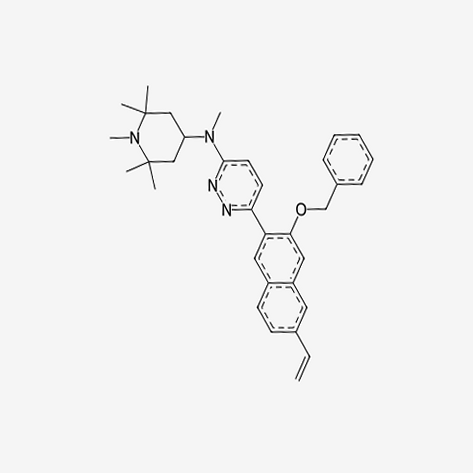 C=Cc1ccc2cc(-c3ccc(N(C)C4CC(C)(C)N(C)C(C)(C)C4)nn3)c(OCc3ccccc3)cc2c1